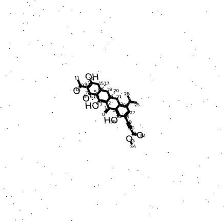 C=C1C2=C(O)[C@@]3(C)C(=O)C(C(C)=O)=C(O)C[C@@]3(C)C[C@@]2(C)Cc2c(C(C)C)cc(C#CC(=O)OC)c(O)c21